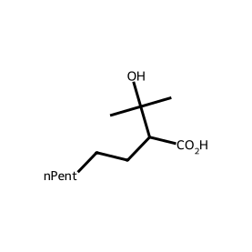 CCCCCCCC(C(=O)O)C(C)(C)O